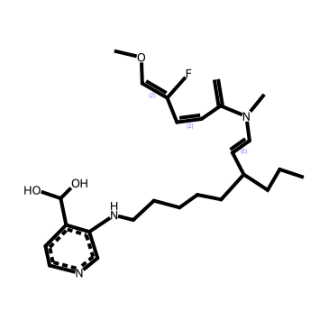 C=C(/C=C\C(F)=C\OC)N(C)/C=C/C(CCC)CCCCCNc1cnccc1C(O)O